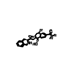 CCN(CC)C(=O)c1ccc2c(c1)N(CC)CCN(C[C@@H](O)[C@@H]1Cc3ccccc3CN1)C2=O.Cl